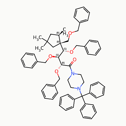 C[C@@H]1CC(C)(C)C[C@@]1(COCc1ccccc1)[C@H](OCc1ccccc1)[C@H](OCc1ccccc1)[C@@H](OCc1ccccc1)C(=O)N1CCN(C(c2ccccc2)(c2ccccc2)c2ccccc2)CC1